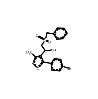 Cc1noc(-c2ccc(Br)cc2)c1[C@H](O)CS(=O)(=O)Cc1ccccc1